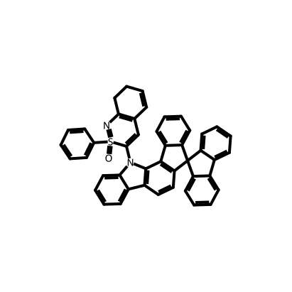 O=S1(c2ccccc2)=NC2=C(C=CCC2)C=C1n1c2ccccc2c2ccc3c(c21)-c1ccccc1C31c2ccccc2-c2ccccc21